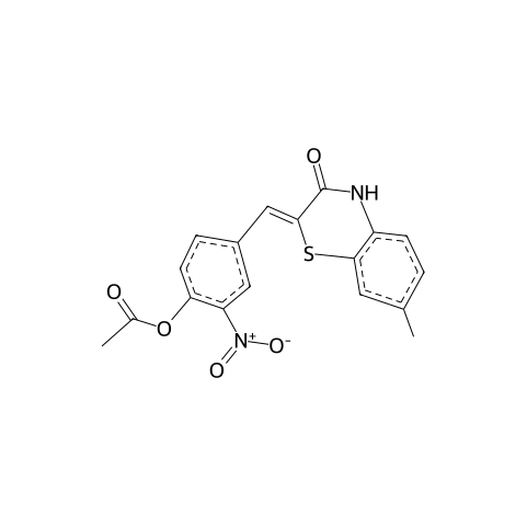 CC(=O)Oc1ccc(/C=C2\Sc3cc(C)ccc3NC2=O)cc1[N+](=O)[O-]